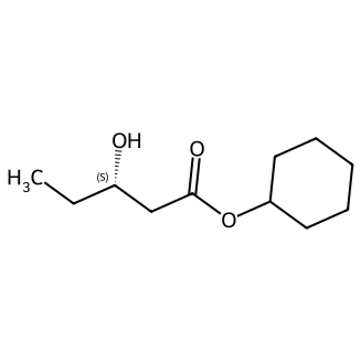 CC[C@H](O)CC(=O)OC1CCCCC1